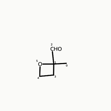 CC1(C=O)CCO1